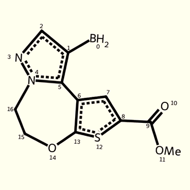 Bc1cnn2c1-c1cc(C(=O)OC)sc1OCC2